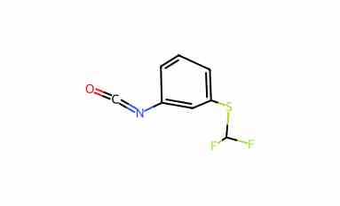 O=C=Nc1cccc(SC(F)F)c1